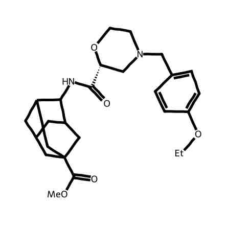 CCOc1ccc(CN2CCO[C@@H](C(=O)NC3C4CC5CC3CC(C(=O)OC)(C5)C4)C2)cc1